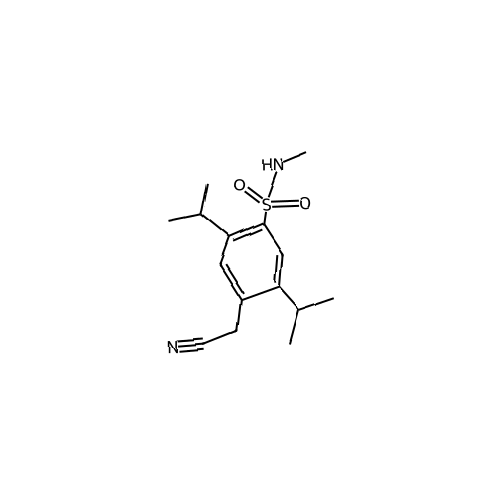 CNS(=O)(=O)c1cc(C(C)C)c(CC#N)cc1C(C)C